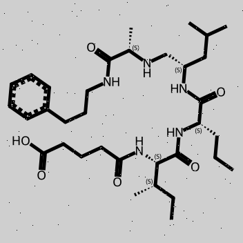 CCC[C@H](NC(=O)[C@@H](NC(=O)CCCC(=O)O)[C@@H](C)CC)C(=O)N[C@H](CN[C@@H](C)C(=O)NCCCc1ccccc1)CC(C)C